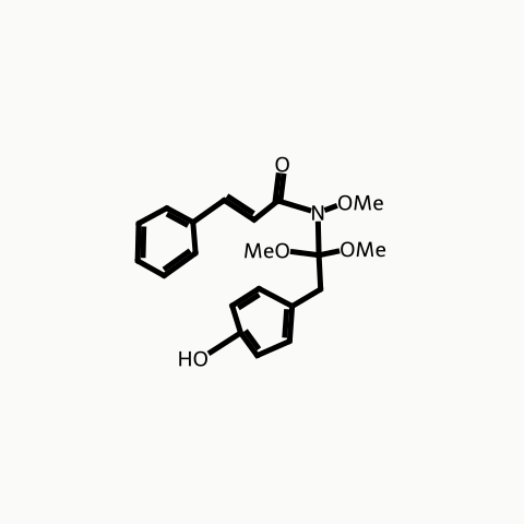 CON(C(=O)C=Cc1ccccc1)C(Cc1ccc(O)cc1)(OC)OC